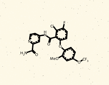 COc1cc(OC(F)(F)F)ccc1Oc1ccc(F)c(Cl)c1C(=O)Nc1ccnc(C(N)=O)c1